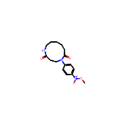 CO[NH+]([O-])c1ccc(N2CCC(=O)NCCCCCC2=O)cc1